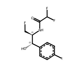 O=C(N[C@H](CF)[C@@H](O)c1ccc(I)cc1)C(F)F